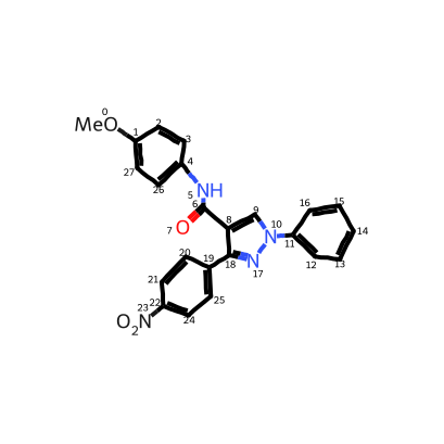 COc1ccc(NC(=O)c2cn(-c3ccccc3)nc2-c2ccc([N+](=O)[O-])cc2)cc1